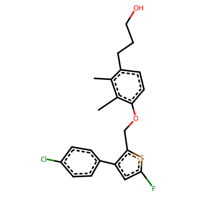 Cc1c(CCCO)ccc(OCc2sc(F)cc2-c2ccc(Cl)cc2)c1C